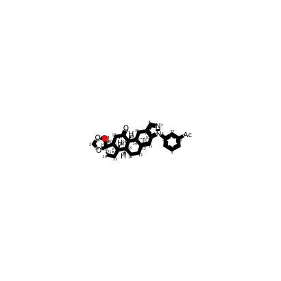 CC(=O)c1cccc(-n2ncc3c2C=C2CC[C@@H]4[C@H](C(=O)C[C@@]5(C)[C@H]4CC[C@@]54OCOC45COCO5)[C@@]2(C)C3)c1